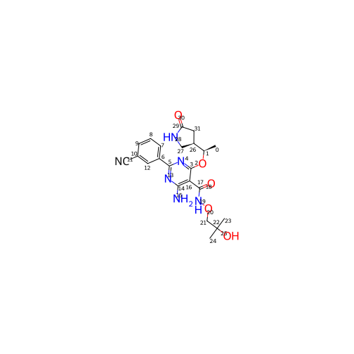 C[C@@H](Oc1nc(-c2cccc(C#N)c2)nc(N)c1C(=O)NOCC(C)(C)O)[C@H]1CNC(=O)C1